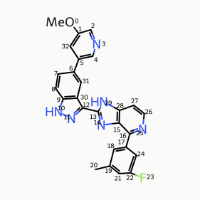 COc1cncc(-c2ccc3[nH]nc(-c4nc5c(-c6cc(C)cc(F)c6)nccc5[nH]4)c3c2)c1